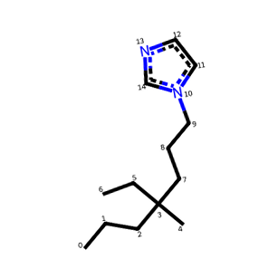 CCCC(C)(CC)CCCn1ccnc1